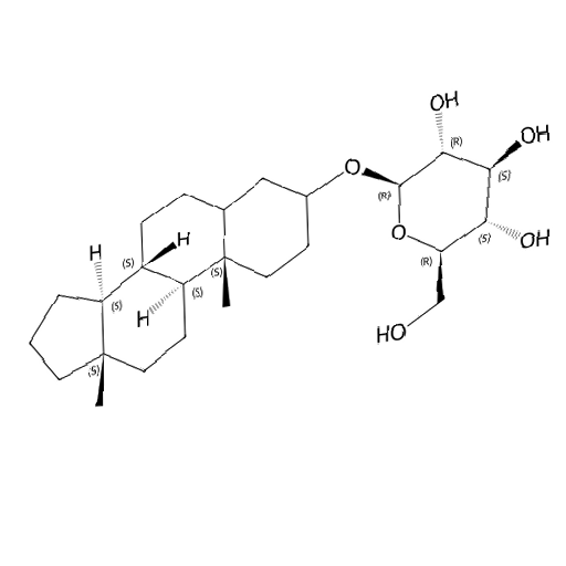 C[C@@]12CCC[C@H]1[C@@H]1CCC3CC(O[C@@H]4O[C@H](CO)[C@@H](O)[C@H](O)[C@H]4O)CC[C@]3(C)[C@H]1CC2